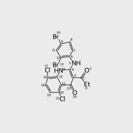 CCC(=O)c1c(Nc2ccc(Br)cc2Br)[nH]c2c(Cl)ccc(Cl)c2c1=O